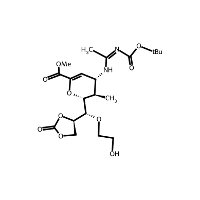 COC(=O)C1=C[C@H](N/C(C)=N\C(=O)OC(C)(C)C)[C@@H](C)[C@H]([C@H](OCCO)[C@H]2COC(=O)O2)O1